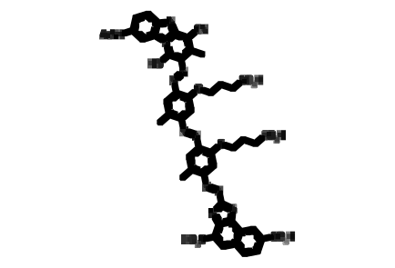 CC(=O)Nc1ccc2nc3c(C#N)c(C)c(N=Nc4cc(C)c(N=Nc5cc(C)c(N=Nc6nc7c(S(=O)(=O)O)cc8ccc(S(=O)(=O)O)cc8c7s6)cc5SCCCS(=O)(=O)O)cc4OCCCS(=O)(=O)O)c(O)n3c2c1